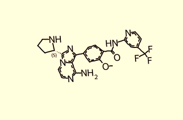 COc1cc(-c2nc([C@@H]3CCCN3)n3ccnc(N)c23)ccc1C(=O)Nc1cc(C(F)(F)F)ccn1